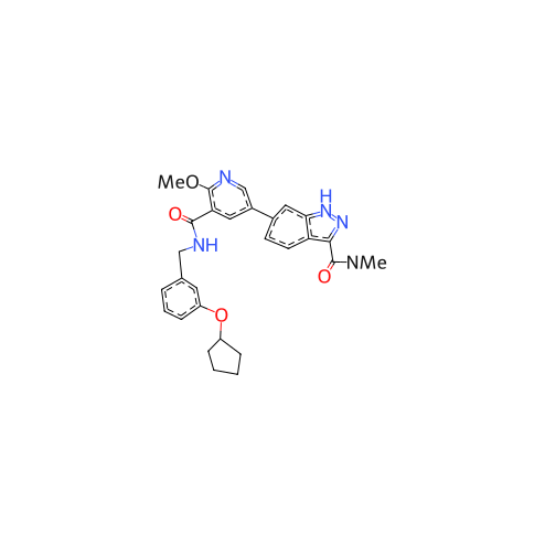 CNC(=O)c1n[nH]c2cc(-c3cnc(OC)c(C(=O)NCc4cccc(OC5CCCC5)c4)c3)ccc12